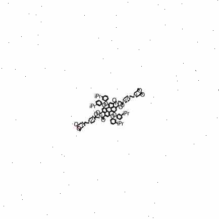 CC(C)c1cccc(Oc2cc3c4c(cc(Oc5cccc(C(C)C)c5)c5c6c(Oc7cccc(C(C)C)c7)cc7c8c(cc(Oc9cccc(C(C)C)c9)c(c2c45)c86)C(=O)N(CC(=O)N2CCN(CCN(CC4CO4)CC4CO4)CC2)C7=O)C(=O)N(CC(=O)N2CCN(CCN(CC4CO4)CC4CO4)CC2)C3=O)c1